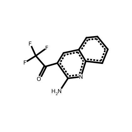 Nc1nc2ccccc2cc1C(=O)C(F)(F)F